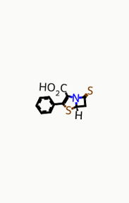 O=C(O)C1=C(c2ccccc2)S[C@H]2CC(=S)N12